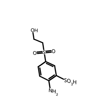 Nc1ccc(S(=O)(=O)CCO)cc1S(=O)(=O)O